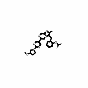 COC1CCN(c2ncc(-c3cn4c(Cc5ccccc5OC(F)F)c(C)nc4cn3)cn2)C1